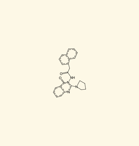 O=C(Cc1cccc2ccccc12)Nn1c(N2CCCC2)nc2ccccc2c1=O